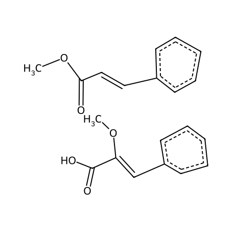 COC(=Cc1ccccc1)C(=O)O.COC(=O)C=Cc1ccccc1